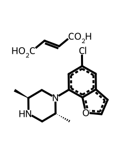 C[C@@H]1CN[C@@H](C)CN1c1cc(Cl)cc2ccoc12.O=C(O)/C=C/C(=O)O